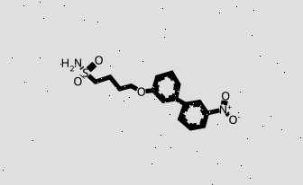 NS(=O)(=O)CCCCOc1cccc(-c2cccc([N+](=O)[O-])c2)c1